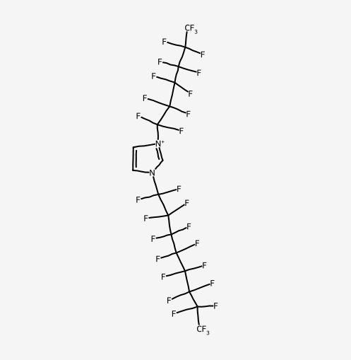 FC(F)(F)C(F)(F)C(F)(F)C(F)(F)C(F)(F)C(F)(F)[n+]1ccn(C(F)(F)C(F)(F)C(F)(F)C(F)(F)C(F)(F)C(F)(F)C(F)(F)C(F)(F)F)c1